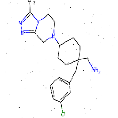 NCC1(Cc2cccc(Cl)c2)CCC(N2CCn3c(nnc3C(F)(F)F)C2)CC1